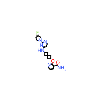 NC(=O)c1cccnc1OC1CC2(CC(Nc3ccnc(N4CC[C@H](F)C4)n3)C2)C1